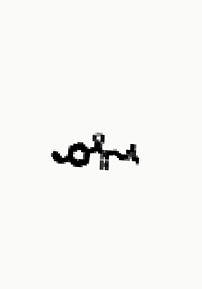 C=Cc1ccc(C(=O)NCCN(C)C)cc1